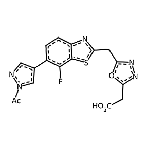 CC(=O)n1cc(-c2ccc3nc(Cc4nnc(CC(=O)O)o4)sc3c2F)cn1